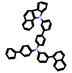 c1ccc(-c2ccc(N(c3ccc(-c4cccc(-n5c6ccccc6c6ccc7ccccc7c65)c4)cc3)c3cccc(-c4cccc5ccccc45)c3)cc2)cc1